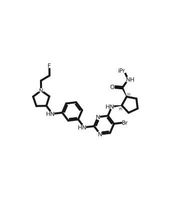 CC(C)NC(=O)[C@H]1CCC[C@H]1Nc1nc(Nc2cccc(NC3CCN(CCF)C3)c2)ncc1Br